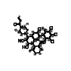 C=CC(=O)N1[C@H](C)CN(C2=C(C#N)C(O)N(C3=C(C)CCN=C3C(C)C)c3nc(-c4c(O)c(Cl)c(Cl)c(Cl)c4F)c(Cl)cc32)C[C@@H]1C